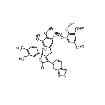 COc1cc(C=O)cc(OC(C)C)c1OC(C)C.COc1cc(CC2=C(c3ccc4nsnc4c3)C(=O)OC2(O)c2ccc(C)c(C)c2)cc(OC(C)C)c1OC(C)C